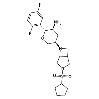 N[C@H]1C[C@@H](N2CC3CN(S(=O)(=O)C4CCCC4)CC32)CO[C@@H]1c1cc(F)ccc1F